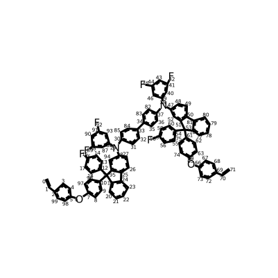 C=Cc1ccc(Oc2ccc(C3(c4ccc(F)cc4)c4ccccc4-c4ccc(N(c5ccc(-c6ccc(N(c7cc(F)cc(F)c7)c7ccc8c(c7)C(c7ccc(F)cc7)(c7ccc(Oc9ccc(C=C)cc9)cc7)c7ccccc7-8)cc6)cc5)c5cc(F)cc(F)c5)cc43)cc2)cc1